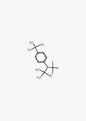 CC(C)(C)c1ccc(C(C(C)(C)C)C(F)(F)F)cc1